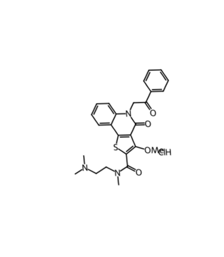 COc1c(C(=O)N(C)CCN(C)C)sc2c1c(=O)n(CC(=O)c1ccccc1)c1ccccc21.Cl